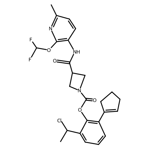 Cc1ccc(NC(=O)C2CN(C(=O)Oc3c(C4=CCCC4)cccc3C(C)Cl)C2)c(OC(F)F)n1